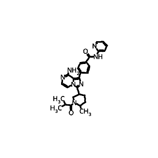 CC(C)C(=O)N1CC(c2nc(-c3ccc(C(=O)Nc4ccccn4)cc3)c3c(N)nccn23)CCC1C